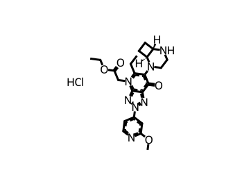 CCOC(=O)Cn1c(CC)c(N2CCN[C@H]3CC[C@@H]32)c(=O)c2nn(-c3ccnc(OC)c3)nc21.Cl